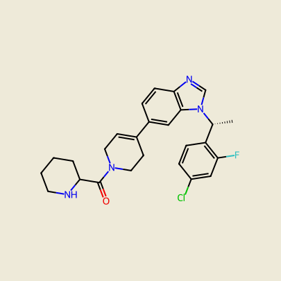 C[C@H](c1ccc(Cl)cc1F)n1cnc2ccc(C3=CCN(C(=O)C4CCCCN4)CC3)cc21